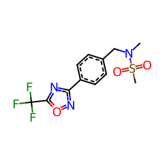 CN(Cc1ccc(-c2noc(C(F)(F)F)n2)cc1)S(C)(=O)=O